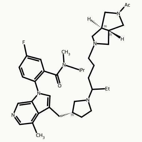 CCC(CCCN1C[C@H]2CN(C(C)=O)C[C@@H]2C1)N1CC[C@H](Cc2cn(-c3ccc(F)cc3C(=O)N(C)C(C)C)c3cncc(C)c23)C1